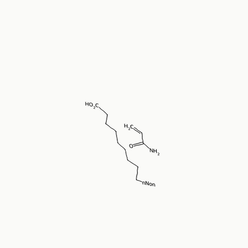 C=CC(N)=O.CCCCCCCCCCCCCCCCCC(=O)O